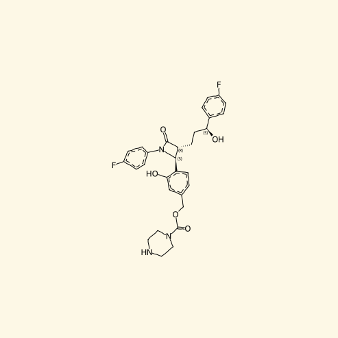 O=C(OCc1ccc([C@@H]2[C@@H](CC[C@H](O)c3ccc(F)cc3)C(=O)N2c2ccc(F)cc2)c(O)c1)N1CCNCC1